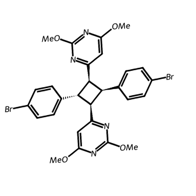 COc1cc([C@H]2[C@H](c3ccc(Br)cc3)[C@@H](c3cc(OC)nc(OC)n3)[C@H]2c2ccc(Br)cc2)nc(OC)n1